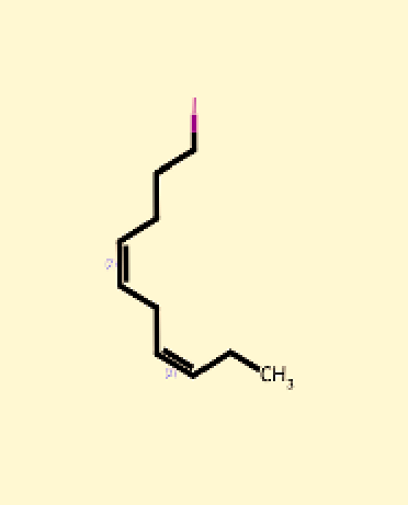 CC/C=C\C/C=C\CCCI